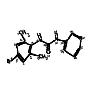 Cc1cc(Br)cc(C)c1NC(=O)Nc1cccnc1